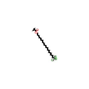 C=C(C)C(=O)OCCCCCCCCCCCCCCCCCCCC[Si](Cl)(Cl)Cl